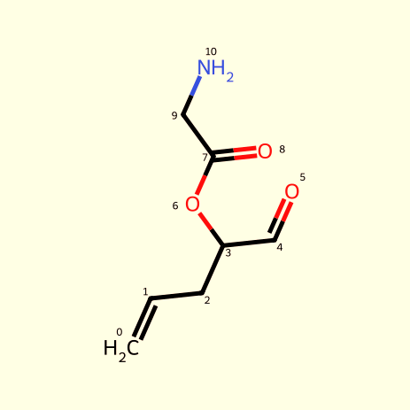 C=CCC(C=O)OC(=O)CN